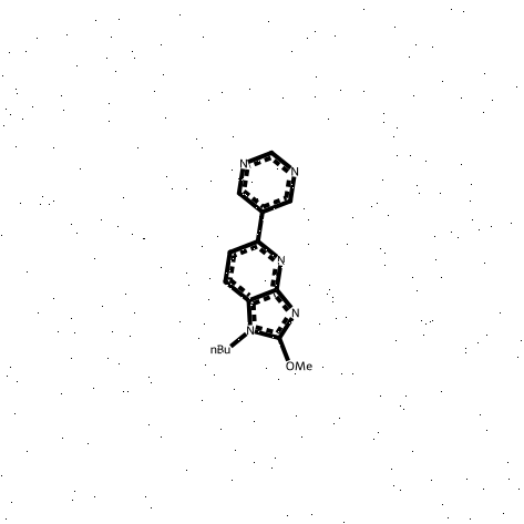 CCCCn1c(OC)nc2nc(-c3cncnc3)ccc21